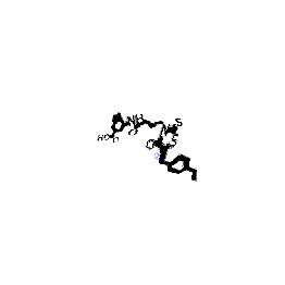 CCc1ccc(/C=C2\SC(=S)N(CCCC(=O)Nc3cccc(C(=O)O)c3)C2=O)cc1